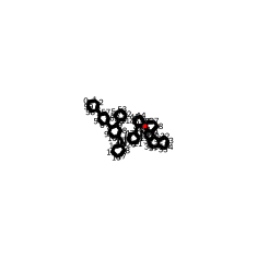 c1ccc(-c2ccc(-c3ccc(N(c4ccccc4)c4ccc(-n5c6ccccc6c6c7ccccc7ccc65)c(-c5ccccc5)c4)cc3-c3ccccc3)cc2)cc1